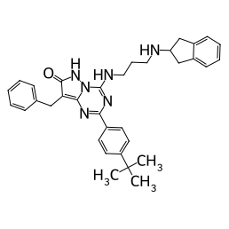 CC(C)(C)c1ccc(-c2nc(NCCCNC3Cc4ccccc4C3)n3[nH]c(=O)c(Cc4ccccc4)c3n2)cc1